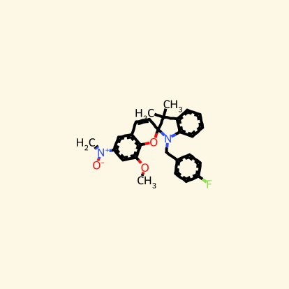 C=[N+]([O-])c1cc2c(c(OC)c1)OC1(C=C2)N(Cc2ccc(F)cc2)c2ccccc2C1(C)C